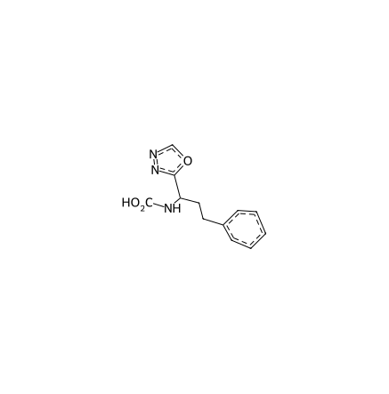 O=C(O)NC(CCc1ccccc1)c1nnco1